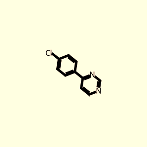 Clc1ccc(-c2c[c]ncn2)cc1